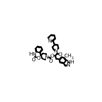 Cc1cc(CC(OC(=O)N2CCC3(CC2)OC(=O)Nc2ccccc23)C(=O)N2CCC(c3ccccn3)CC2)cc2cn[nH]c12